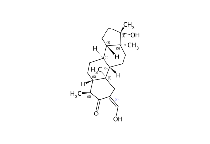 C[C@@H]1C(=O)/C(=C\O)C[C@]2(C)[C@H]3CC[C@@]4(C)[C@@H](CC[C@]4(C)O)[C@@H]3CC[C@@H]12